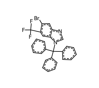 FC(F)(F)c1cc2c(cc1Br)ncn2C(c1ccccc1)(c1ccccc1)c1ccccc1